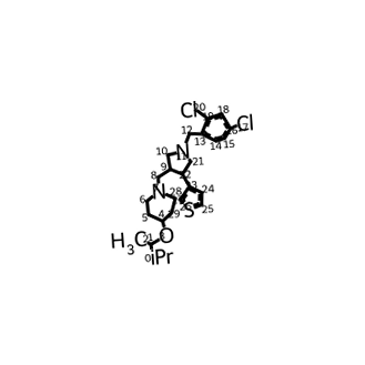 CC(C)C(C)OC1CCN(CC2CN(Cc3ccc(Cl)cc3Cl)CC2c2ccsc2)CC1